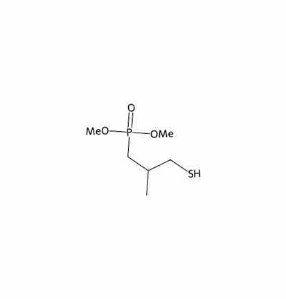 COP(=O)(CC(C)CS)OC